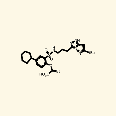 CCC(Oc1ccc(C2CCCCC2)cc1S(=O)(=O)NCCCc1n[nH]c2cc(C(C)(C)C)nn12)C(=O)O